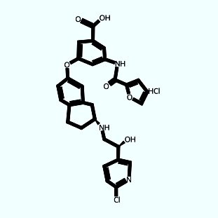 Cl.O=C(O)c1cc(NC(=O)c2ccco2)cc(Oc2ccc3c(c2)C[C@@H](NC[C@@H](O)c2ccc(Cl)nc2)CC3)c1